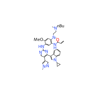 C=CC(=O)Nc1cc(Nc2ncc(-c3cnn(C)c3)c(-c3cn(C4CC4)c4ccccc34)n2)c(OC)cc1N(C)CCN(C)CCCC